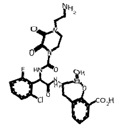 NCCN1CCN(C(=O)NC(C(=O)N[C@H]2Cc3cccc(C(=O)O)c3OB2O)c2c(F)cccc2Cl)C(=O)C1=O